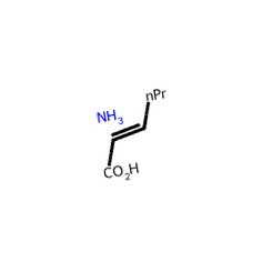 CCCC=CC(=O)O.N